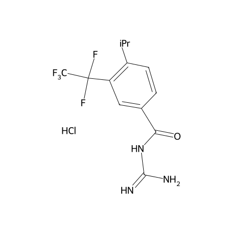 CC(C)c1ccc(C(=O)NC(=N)N)cc1C(F)(F)C(F)(F)F.Cl